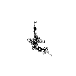 Cc1ncsc1-c1ccc(CNC(=O)[C@@H]2C[C@@H](CO)CN2C(=O)[C@@H](NC(=O)COCCCC2CNC2)C(C)(C)C)cc1